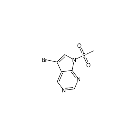 CS(=O)(=O)n1cc(Br)c2cncnc21